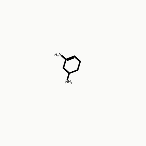 NC1=CCCC(N)C1